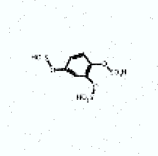 O=S(=O)(O)Oc1ccc(OS(=O)(=O)O)c(OS(=O)(=O)O)c1